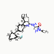 CNC(=O)CNc1cc(C)c2ccc(-c3ccccc3F)cc2n1